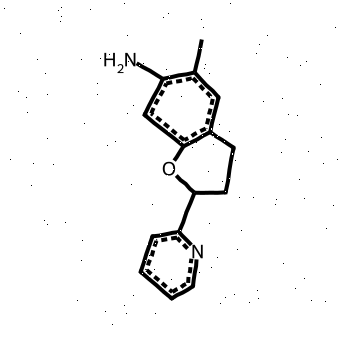 Cc1cc2c(cc1N)OC(c1ccccn1)CC2